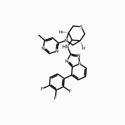 Cc1cc(N2C[C@@H]3CSC[C@H]2C3Nc2nc3c(-c4ccc(F)c(F)c4F)cccn3n2)ncn1